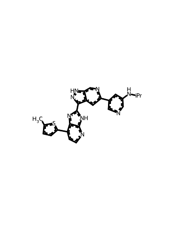 Cc1ccc(-c2ccnc3[nH]c(-c4n[nH]c5cnc(-c6cncc(NC(C)C)c6)cc45)nc23)s1